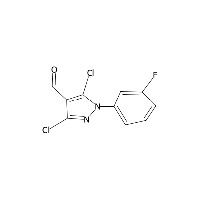 O=Cc1c(Cl)nn(-c2cccc(F)c2)c1Cl